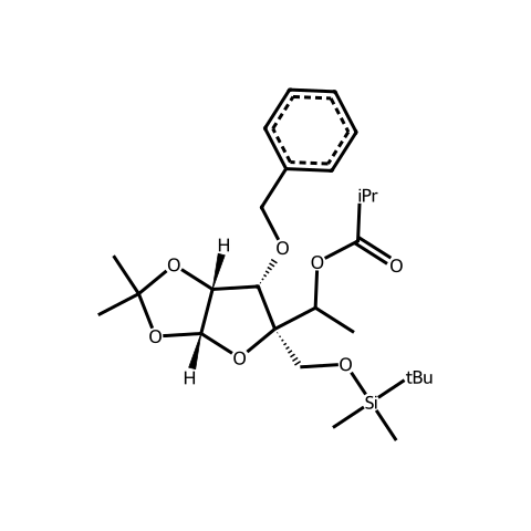 CC(C)C(=O)OC(C)[C@@]1(CO[Si](C)(C)C(C)(C)C)O[C@@H]2OC(C)(C)O[C@@H]2[C@@H]1OCc1ccccc1